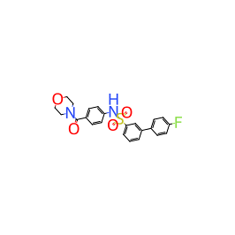 O=C(c1ccc(NS(=O)(=O)c2cccc(-c3ccc(F)cc3)c2)cc1)N1CCOCC1